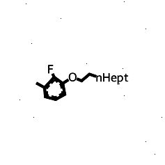 CCCCCCCCCOc1cccc(C)c1F